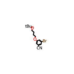 CC(C)(C)OCCCCOc1cc(Br)cc(C#N)c1